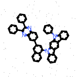 c1ccc(-c2nc3ccc(-c4cc(-n5c6ccccc6c6cc7c8ccccc8n(-c8ccccc8)c7cc65)c5ccccc5c4)cc3nc2-c2ccccc2)cc1